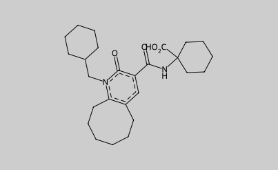 O=C(NC1(C(=O)O)CCCCC1)c1cc2c(n(CC3CCCCC3)c1=O)CCCCCC2